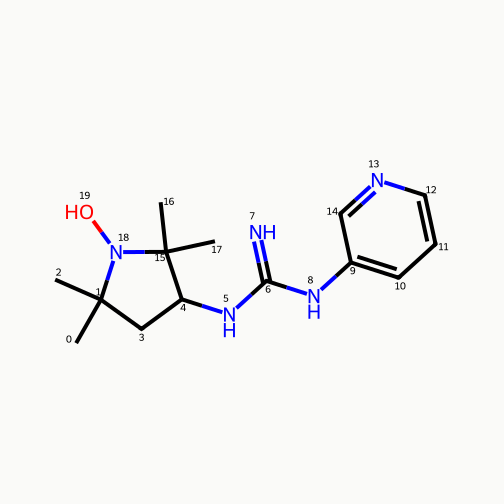 CC1(C)CC(NC(=N)Nc2cccnc2)C(C)(C)N1O